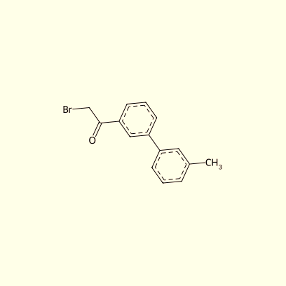 Cc1cccc(-c2cccc(C(=O)CBr)c2)c1